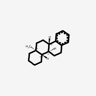 C[C@@]12CCCC[C@H]1[C@@H]1CCc3c[c]ccc3[C@H]1CC2